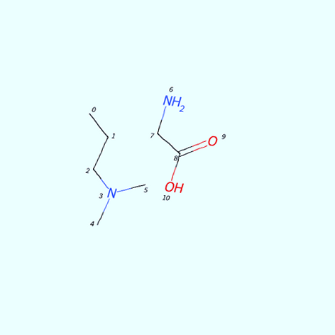 CCCN(C)C.NCC(=O)O